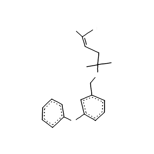 CC(C)(CC=C(F)Cl)OCc1cccc(Oc2ccccc2)c1